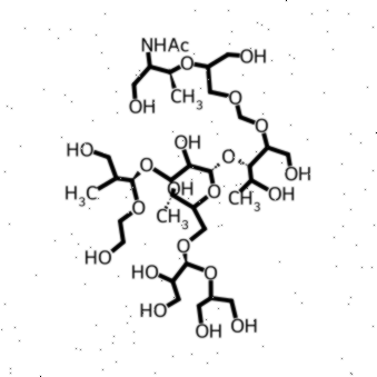 CC(=O)NC(CO)[C@H](C)OC(CO)COCOC(CO)[C@@H](O[C@H](OC(CO[C@@H](OC(CO)CO)C(O)CO)[C@H](C)O)C(O)CO[C@@H](OCCO)C(C)CO)C(C)O